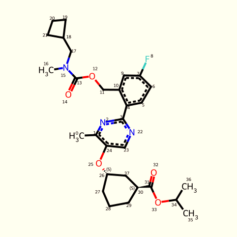 Cc1nc(-c2ccc(F)cc2COC(=O)N(C)CC2CCC2)ncc1O[C@H]1CCC[C@H](C(=O)OC(C)C)C1